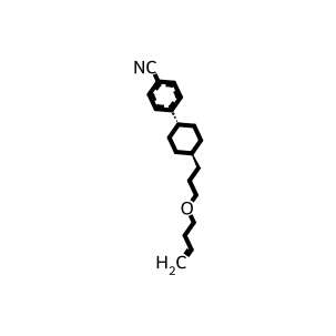 C=CCCOCCC[C@H]1CC[C@H](c2ccc(C#N)cc2)CC1